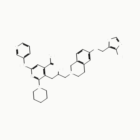 Cc1ncoc1COc1ccc2c(c1)CCN(CC(O)Cc1c(C(N)=O)cc(Nc3cccnc3)nc1N1CCCCC1)C2